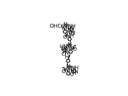 C=CC(=O)Nc1cccc(Oc2nc(Nc3cnn(Cc4ccc(C#Cc5ccc(NC(=O)C=C)cc5Nc5nc(Nc6cnn(Cc7ccc(NC(=O)c8ccc(NCC(=C)C=O)cc8Nc8nc(Nc9cnn(C)c9)ncc8Cl)cc7)c6)ncc5Cl)cc4)c3)cnc2C)c1